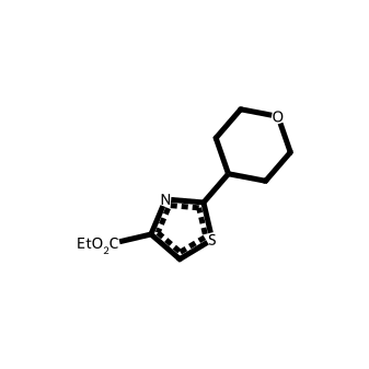 CCOC(=O)c1csc(C2CCOCC2)n1